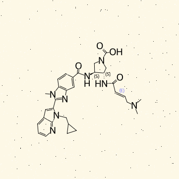 CN(C)C/C=C/C(=O)N[C@H]1CN(C(=O)O)C[C@@H]1NC(=O)c1ccc2c(c1)nc(-c1cc3cccnc3n1CC1CC1)n2C